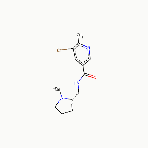 Cc1ncc(C(=O)NC[C@@H]2CCCN2C(C)(C)C)cc1Br